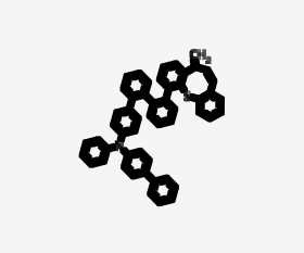 C=C1/C=C\c2ccccc2Sc2c1cccc2-c1ccccc1-c1ccccc1-c1ccc(N(c2ccccc2)c2ccc(-c3ccccc3)cc2)cc1